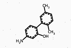 Cc1ccc(C)c(-c2ccc(N)cc2O)c1